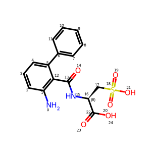 Nc1cccc(-c2ccccc2)c1C(=O)N[C@@H](CS(=O)(=O)O)C(=O)O